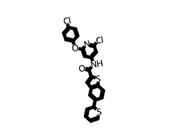 O=C(Nc1cc(Cl)nc(Oc2ccc(Cl)cc2)c1)c1cc2cc(C3C=CC=CS3)ccc2s1